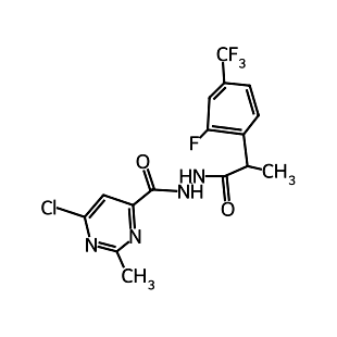 Cc1nc(Cl)cc(C(=O)NNC(=O)C(C)c2ccc(C(F)(F)F)cc2F)n1